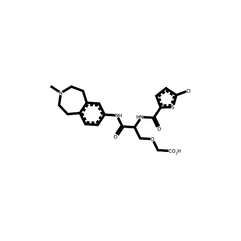 CN1CCc2ccc(NC(=O)C(COCC(=O)O)NC(=O)c3ccc(Cl)s3)cc2CC1